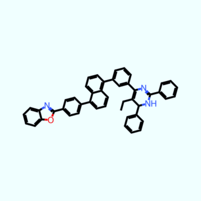 CCC1=C(c2cccc(-c3cccc4c(-c5ccc(-c6nc7ccccc7o6)cc5)cccc34)c2)N=C(c2ccccc2)NC1c1ccccc1